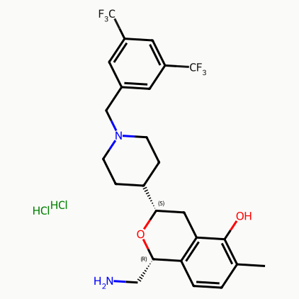 Cc1ccc2c(c1O)C[C@@H](C1CCN(Cc3cc(C(F)(F)F)cc(C(F)(F)F)c3)CC1)O[C@H]2CN.Cl.Cl